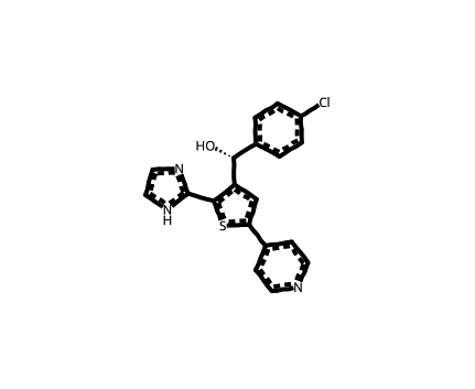 O[C@H](c1ccc(Cl)cc1)c1cc(-c2ccncc2)sc1-c1ncc[nH]1